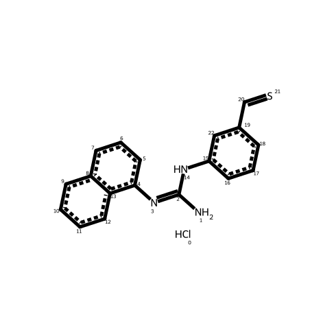 Cl.NC(=Nc1cccc2ccccc12)Nc1cccc(C=S)c1